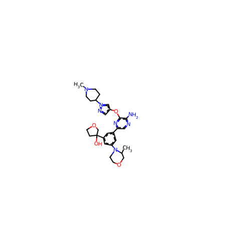 CC1COCCN1c1cc(-c2cnc(N)c(Oc3cnn(C4CCN(C)CC4)c3)n2)cc(C2(O)CCOC2)c1